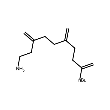 C=C(CCN)CCC(=C)CCC(=C)CCCC